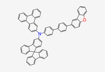 c1ccc2c(c1)-c1ccccc1C21c2ccccc2-c2cc(N(c3ccc(-c4ccc(-c5ccc6oc7ccccc7c6c5)cc4)cc3)c3ccc4c5ccccc5c5ccccc5c4c3)ccc21